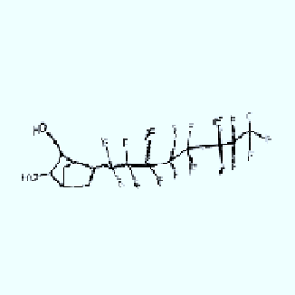 OC1C2CC(C1O)C(C(F)(F)C(F)(F)C(F)(F)C(F)(F)C(F)(F)C(F)(F)C(F)(F)C(F)(F)F)C2